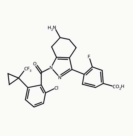 NC1CCc2c(-c3ccc(C(=O)O)cc3F)nn(C(=O)c3c(Cl)cccc3C3(C(F)(F)F)CC3)c2C1